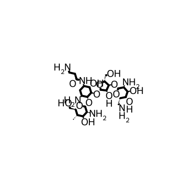 C[C@H]1[C@H](O)[C@@H](N)[C@@H](O[C@H]2[C@H](O[C@@H]3O[C@H](CO)[C@@H](O[C@H]4O[C@@H](CN)[C@@H](O)[C@H](O)[C@H]4N)[C@H]3O)[C@@H](O)[C@H](NC(=O)CCN)C[C@@H]2N)O[C@@H]1CO